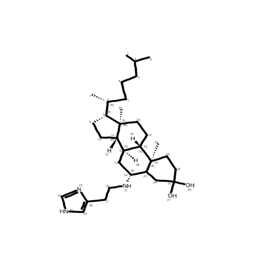 CC(C)CCC[C@@H](C)[C@H]1CC[C@H]2[C@@H]3C[C@@H](NCCc4c[nH]cn4)C4CC(O)(O)CC[C@]4(C)[C@H]3CC[C@]12C